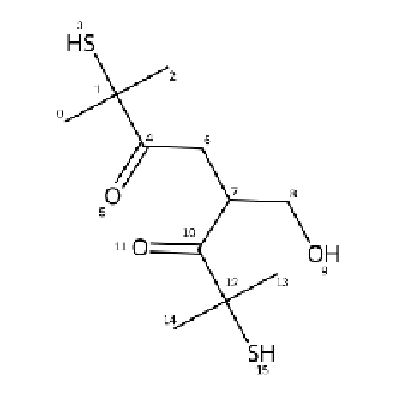 CC(C)(S)C(=O)CC(CO)C(=O)C(C)(C)S